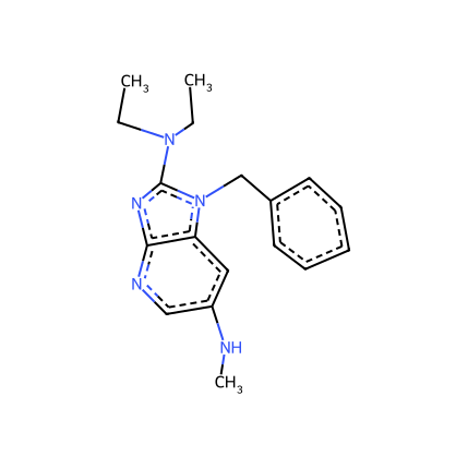 CCN(CC)c1nc2ncc(NC)cc2n1Cc1ccccc1